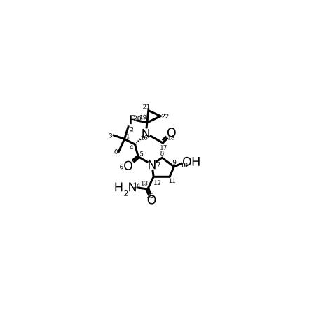 CC(C)(C)[C@@H](C(=O)N1CC(O)CC1C(N)=O)N(C=O)C1(F)CC1